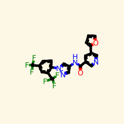 O=C(Nc1cnn(-c2ccc(C(F)(F)F)cc2C(F)(F)F)c1)c1cncc(-c2ccco2)c1